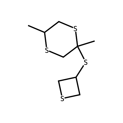 CC1CSC(C)(SC2CSC2)CS1